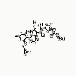 Cc1[nH]c2c(-c3ccc(F)cc3OCC3CC3)ncnc2c1C(=O)N[C@@H]1CCN(OC(=O)OC(C)(C)C)C1